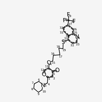 O=c1cc(CN2CCCCC2)occ1OCCCCCSc1ccnc2cc(C(F)(F)F)ccc12